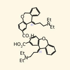 CCN(CC)CC/C=C1/c2ccccc2COc2ccc(C(=O)O)cc21.CCN(CC)CC/C=C1\c2ccccc2COc2ccc(C(=O)O)cc21